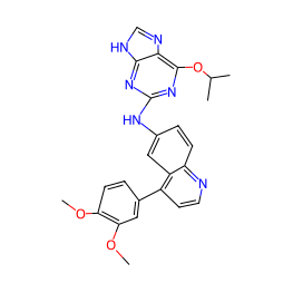 COc1ccc(-c2ccnc3ccc(Nc4nc(OC(C)C)c5nc[nH]c5n4)cc23)cc1OC